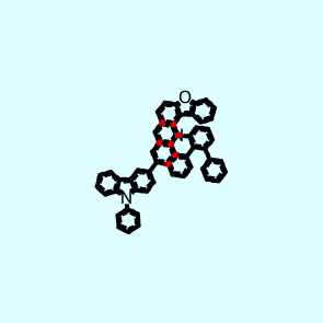 c1ccc(-c2ccccc2-c2c(-c3ccccc3)cccc2N(c2ccc(-c3ccc4c(c3)c3ccccc3n4-c3ccccc3)cc2)c2cccc3oc4ccccc4c23)cc1